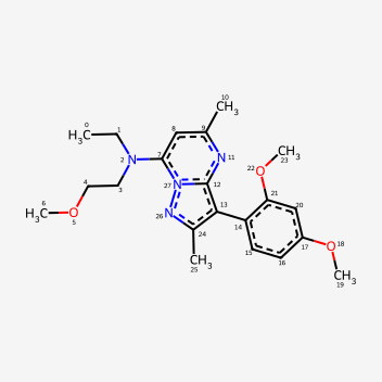 CCN(CCOC)c1cc(C)nc2c(-c3ccc(OC)cc3OC)c(C)nn12